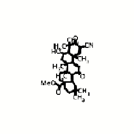 COC(=O)C12CCC(C)(C)CC1C1C(=O)C=C3C4(C)C=C(C#N)C(=O)C(C)(C)C4C(O)CC3(C)C1(C)CC2